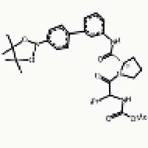 COC(=O)NC(C(=O)N1CCC[C@H]1C(=O)Nc1cccc(-c2ccc(B3OC(C)(C)C(C)(C)O3)cc2)c1)C(C)C